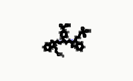 CCC[n+]1c(/C=C/C(=C/C=C2\Sc3ccccc3N2CCCS(=O)(=O)O)c2ccc(C(=O)O)cn2)sc2ccccc21